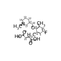 Cc1cc(F)cc(C)c1OCC1CCCN(C)C1.O=C(O)C=CC(=O)O